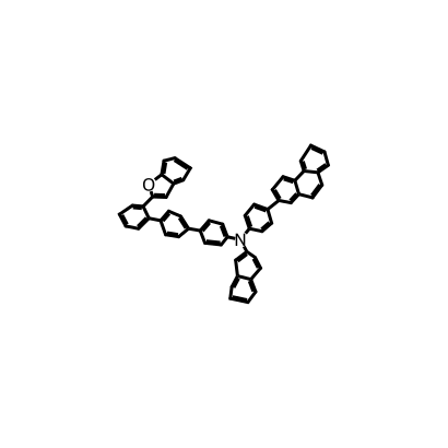 c1ccc(-c2cc3ccccc3o2)c(-c2ccc(-c3ccc(N(c4ccc(-c5ccc6c(ccc7ccccc76)c5)cc4)c4ccc5ccccc5c4)cc3)cc2)c1